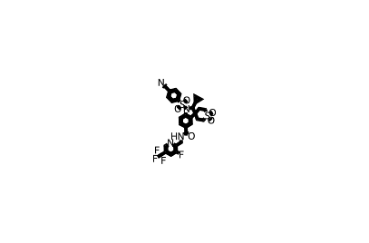 N#Cc1ccc(S(=O)(=O)N2c3ccc(C(=O)NCc4ncc(C(F)(F)F)cc4F)cc3C3(CCS(=O)(=O)CC3)C2C2CC2)cc1